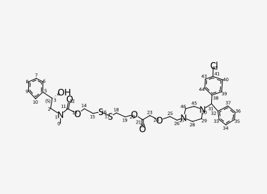 CN(C[C@@H](O)c1ccccc1)C(=O)OCCSSCCOC(=O)COCCN1CCN(C(c2ccccc2)c2ccc(Cl)cc2)CC1